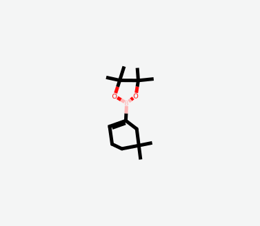 CC1(C)CCC=C(B2OC(C)(C)C(C)(C)O2)C1